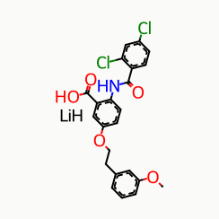 COc1cccc(CCOc2ccc(NC(=O)c3ccc(Cl)cc3Cl)c(C(=O)O)c2)c1.[LiH]